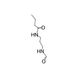 CCCC(=O)NCCCNC=O